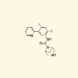 Cc1cc(F)c(NC(=O)N2C3CNCC2C3)cc1-c1ccccn1